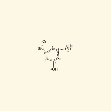 CC(C)(C)c1cc(O)cc(C(C)(C)C)c1.Cl.[Zr]